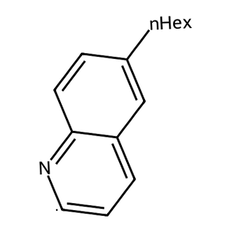 CCCCCCc1ccc2n[c]ccc2c1